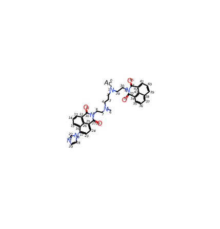 CC(=O)N(CCCN(C)CCN1C(=O)c2cccc3c(-n4ccnc4)ccc(c23)C1=O)CCN1C(=O)c2cccc3cccc(c23)C1=O